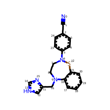 N#Cc1ccc(N2CCN(Cc3c[nH]cn3)c3ccccc3S2)cc1